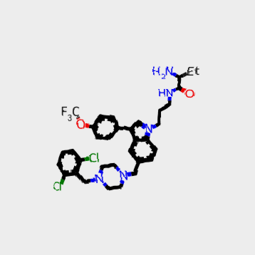 CCC(N)C(=O)NCCCn1cc(-c2ccc(OC(F)(F)F)cc2)c2cc(CN3CCN(Cc4c(Cl)cccc4Cl)CC3)ccc21